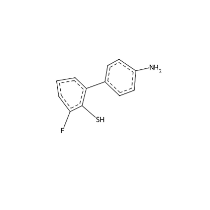 Nc1ccc(-c2cccc(F)c2S)cc1